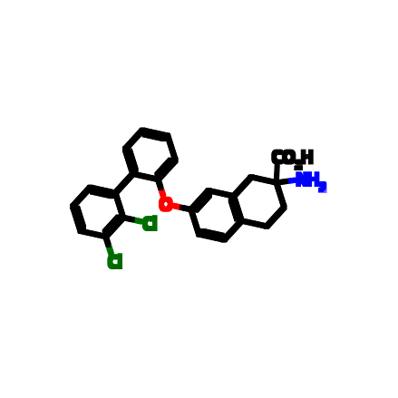 NC1(C(=O)O)CCc2ccc(Oc3ccccc3-c3cccc(Cl)c3Cl)cc2C1